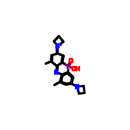 CC1=CC(=[N+]2CCC2)C=C2C1=Nc1c(C)cc(N3CCC3)cc1P2(=O)O